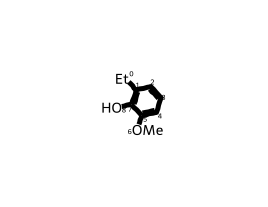 CCc1cccc(OC)c1O